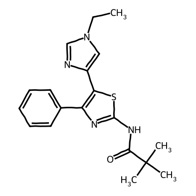 CCn1cnc(-c2sc(NC(=O)C(C)(C)C)nc2-c2ccccc2)c1